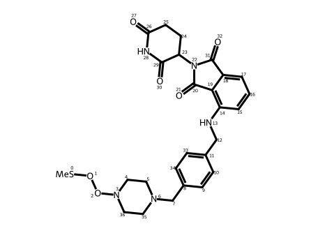 CSOON1CCN(Cc2ccc(CNc3cccc4c3C(=O)N(C3CCC(=O)NC3=O)C4=O)cc2)CC1